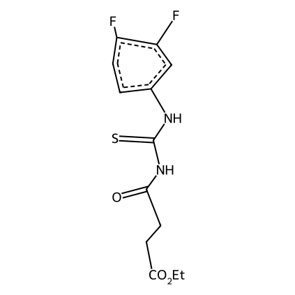 CCOC(=O)CCC(=O)NC(=S)Nc1ccc(F)c(F)c1